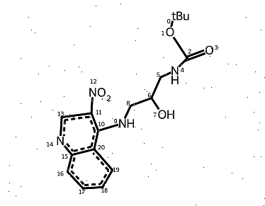 CC(C)(C)OC(=O)NCC(O)CNc1c([N+](=O)[O-])cnc2ccccc12